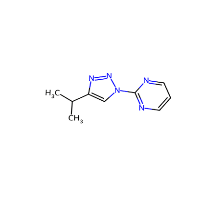 CC(C)c1cn(-c2ncccn2)nn1